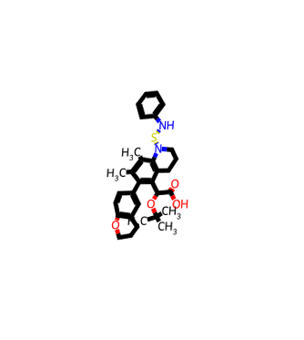 Cc1c(C)c2c(c(C(OC(C)(C)C)C(=O)O)c1-c1ccc3c(c1)CCCO3)CCCN2SNc1ccccc1